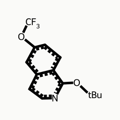 CC(C)(C)Oc1nccc2cc(OC(F)(F)F)ccc12